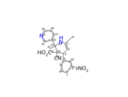 CC1=CC(c2cccc([N+](=O)[O-])c2)C(C#N)(C(=O)O)C(C)(c2cccnc2)N1